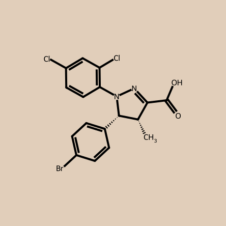 C[C@H]1C(C(=O)O)=NN(c2ccc(Cl)cc2Cl)[C@H]1c1ccc(Br)cc1